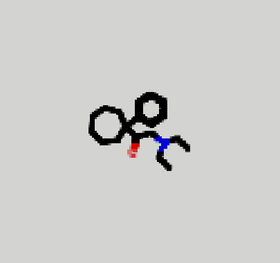 CCN(CC)CC(=O)C1(c2ccccc2)CCCCCC1